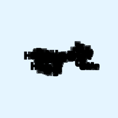 COC(=O)CC1N=C(c2ccc(-c3ccc(OCC(=O)N[C@H](C(=O)N4C[C@H](O)C[C@H]4C(=O)N[C@@H](C)c4ccc(-c5scnc5C)cc4)C(C)(C)C)c(C#N)c3)cc2)c2c(sc(C)c2C)-n2c(C)nnc21